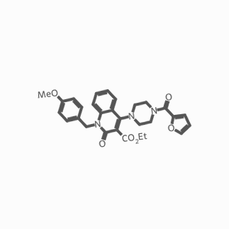 CCOC(=O)c1c(N2CCN(C(=O)c3ccco3)CC2)c2ccccc2n(Cc2ccc(OC)cc2)c1=O